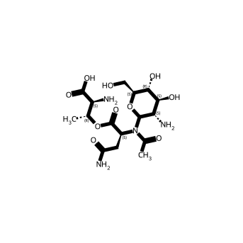 CC(=O)N(C1O[C@@H](CO)[C@H](O)[C@@H](O)[C@@H]1N)[C@@H](CC(N)=O)C(=O)O[C@H](C)[C@H](N)C(=O)O